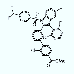 COC(=O)c1ccc(-c2cccc(-c3c(-c4c(F)cccc4C#N)c4cc(F)ccc4n3S(=O)(=O)c3ccc(C(F)F)cc3)c2)c(Cl)c1